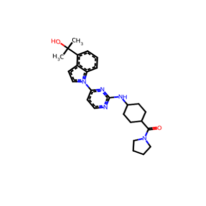 CC(C)(O)c1cccc2c1ccn2-c1ccnc(NC2CCC(C(=O)N3CCCC3)CC2)n1